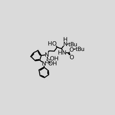 CC(C)(C)NC(NC(=O)OC(C)(C)C)C(O)CCN1c2ccccc2N(c2ccccc2)S1(O)O